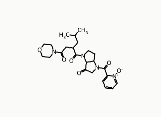 CC(C)CC(CC(=O)N1CCOCC1)C(=O)N1CCC2C1C(=O)CN2C(=O)c1cccc[n+]1[O-]